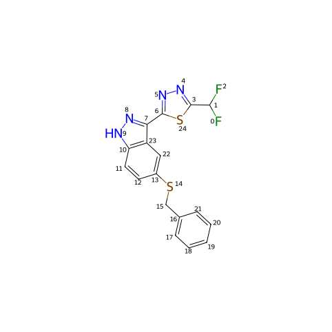 FC(F)c1nnc(-c2n[nH]c3ccc(SCc4ccccc4)cc23)s1